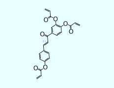 C=CC(=O)Oc1ccc(/C=C/C(=O)c2ccc(OC(=O)C=C)c(OC(=O)C=C)c2)cc1